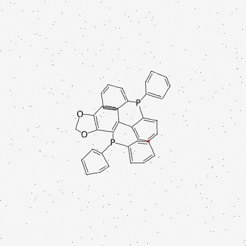 c1ccc(P(c2ccccc2)c2ccccc2-c2ccc3c(c2P(c2ccccc2)c2ccccc2)OCO3)cc1